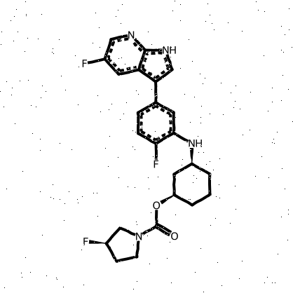 O=C(O[C@@H]1CCC[C@H](Nc2cc(-c3c[nH]c4ncc(F)cc34)ccc2F)C1)N1CC[C@@H](F)C1